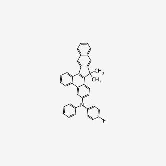 CC1(C)c2cc3ccccc3cc2-c2c1c1ccc(N(c3ccccc3)c3ccc(F)cc3)cc1c1ccccc21